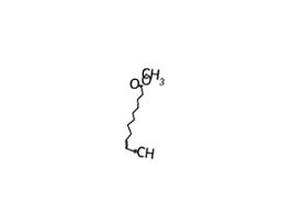 C#C/C=C\CCCCCCCC(=O)OC